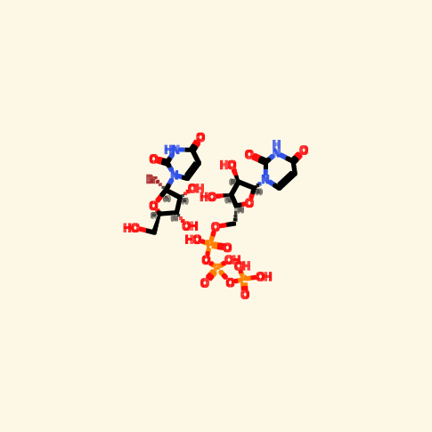 O=c1ccn([C@@H]2O[C@H](COP(=O)(O)OP(=O)(O)OP(=O)(O)O)[C@@H](O)[C@H]2O)c(=O)[nH]1.O=c1ccn([C@]2(Br)O[C@H](CO)[C@@H](O)[C@H]2O)c(=O)[nH]1